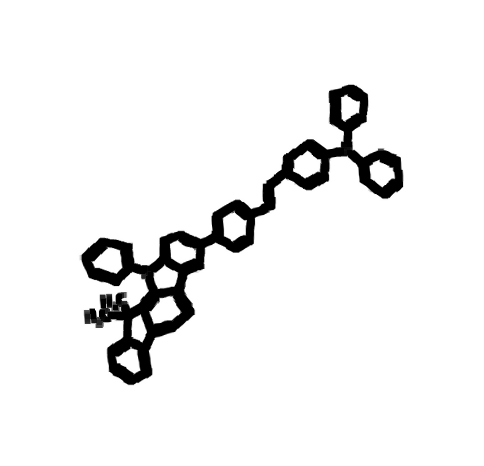 CC1(C)c2ccccc2-c2ccc3c4cc(-c5ccc(/C=C/c6ccc(N(c7ccccc7)c7ccccc7)cc6)cc5)ccc4n(-c4ccccc4)c3c21